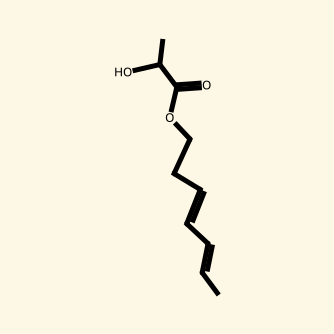 CC=CC=CCCOC(=O)C(C)O